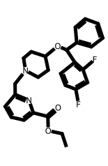 CCOC(=O)c1cccc(CN2CCC(OC(c3ccccc3)c3ccc(F)cc3F)CC2)n1